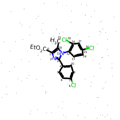 CCOC(=O)c1nc(-c2ccc(Cl)cc2)n(-c2ccc(Cl)cc2Cl)c1C